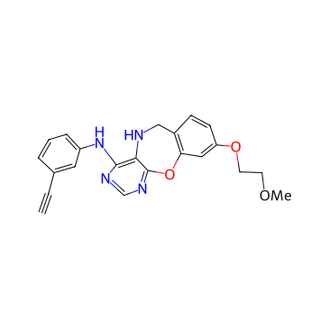 C#Cc1cccc(Nc2ncnc3c2NCc2ccc(OCCOC)cc2O3)c1